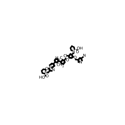 Cc1c(COc2cc(OCc3cncc(C#N)c3)c(CN3CCCC[C@@H]3C(=O)O)cc2Cl)cccc1-c1cccc(-c2ccn3c(=O)c(CN4CCCC[C@H]4C(=O)O)cnc3c2)c1C